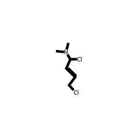 CN(C)C(Cl)C=CCCl